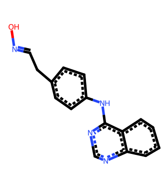 ON=CCc1ccc(Nc2ncnc3ccccc23)cc1